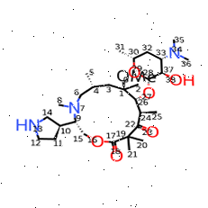 CO[C@]1(C)C[C@@H](C)CN(C)[C@@H]([C@H]2CCNC2)COC(=O)C(C)(C)C(=O)[C@H](C)[C@H]1O[C@@H]1O[C@H](C)C[C@H](N(C)C)[C@H]1O